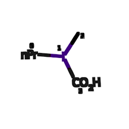 CCCI(C)C(=O)O